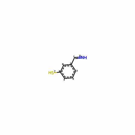 N=Cc1cccc(S)c1